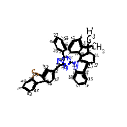 CC1(C)c2ccccc2-c2c1ccc1c3ccccc3n(-c3nc(-c4ccccc4)nc(-c4ccc5c(c4)sc4ccccc45)n3)c21